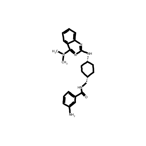 CN(C)c1nc(N[C@H]2CC[C@@H](CNC(=O)c3cccc(N)c3)CC2)nc2ccccc12